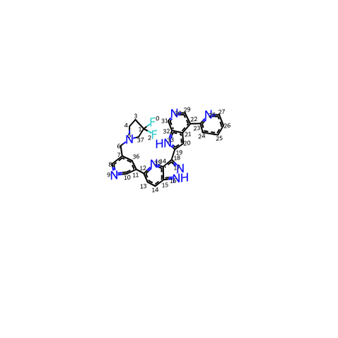 FC1(F)CCN(Cc2cncc(-c3ccc4[nH]nc(-c5cc6c(-c7ccccn7)cncc6[nH]5)c4n3)c2)C1